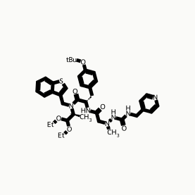 CCOC(OCC)[C@H](C)N(Cc1csc2ccccc12)C(=O)[C@H](Cc1ccc(OC(C)(C)C)cc1)NC(=O)CN(C)NC(=O)NCc1ccncc1